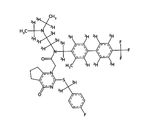 [2H]c1c([2H])c(C(F)(F)F)c([2H])c([2H])c1-c1c([2H])c([2H])c(C([2H])([2H])N(C(=O)Cn2c(SC([2H])([2H])c3ccc(F)cc3)nc(=O)c3c2CCC3)C([2H])([2H])C([2H])([2H])N(C([2H])([2H])C)C([2H])([2H])C)c(C)c1[2H]